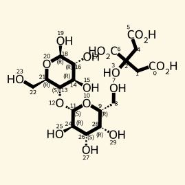 O=C(O)CC(O)(CC(=O)O)C(=O)O.OC[C@H]1O[C@@H](O[C@H]2[C@H](O)[C@@H](O)[C@H](O)O[C@@H]2CO)[C@H](O)[C@@H](O)[C@H]1O